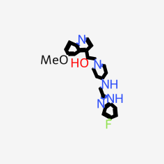 COc1ccc2nccc([C@@H](O)CN3CCC(NCc4nc5cc(F)ccc5[nH]4)CC3)c2c1